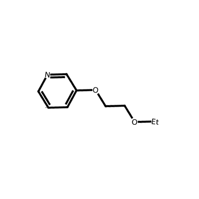 CCOCCOc1c[c]cnc1